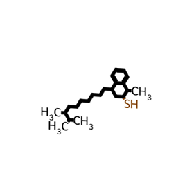 CC(C)C(C)CCCCCCCC1CC(S)C(C)c2ccccc21